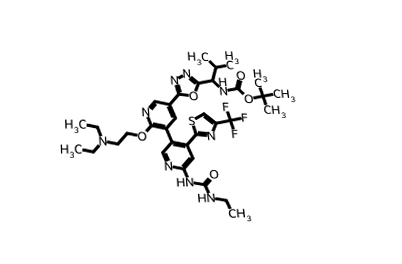 CCNC(=O)Nc1cc(-c2nc(C(F)(F)F)cs2)c(-c2cc(-c3nnc(C(NC(=O)OC(C)(C)C)C(C)C)o3)cnc2OCCN(CC)CC)cn1